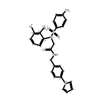 Cc1ccc(S(=O)(=O)N(CC(=O)NCc2ccc(-n3cccc3)cc2)c2cccc(Cl)c2C)cc1